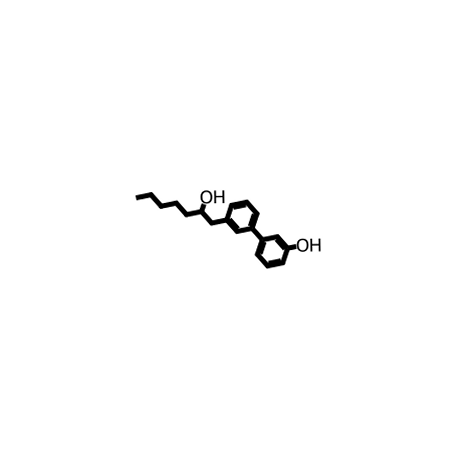 CCCCCC(O)Cc1cccc(-c2cccc(O)c2)c1